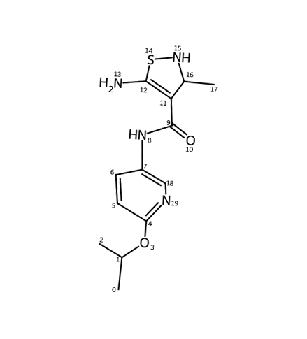 CC(C)Oc1ccc(NC(=O)C2=C(N)SNC2C)cn1